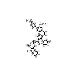 COc1cc2c(cc1-c1cnn(C)c1)-c1cc(C(=O)NC(CO)Cc3c[nH]c4ccccc34)c(-c3cccc(F)c3)n1CC2